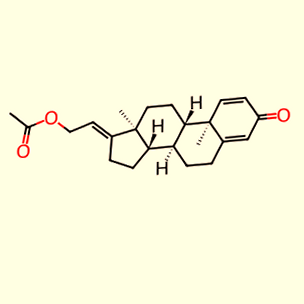 CC(=O)OCC=C1CC[C@H]2[C@@H]3CCC4=CC(=O)C=C[C@]4(C)[C@H]3CC[C@]12C